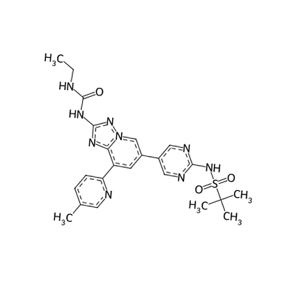 CCNC(=O)Nc1nc2c(-c3ccc(C)cn3)cc(-c3cnc(NS(=O)(=O)C(C)(C)C)nc3)cn2n1